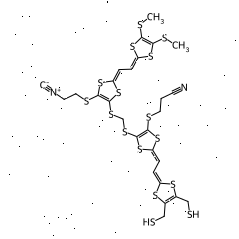 [C-]#[N+]CCSC1=C(SCSC2=C(SCCC#N)SC(=CC=C3SC(CS)=C(CS)S3)S2)SC(=CC=C2SC(SC)=C(SC)S2)S1